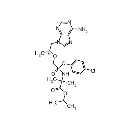 CC(C)OC(=O)C(C)(C)NP(=O)(CO[C@H](C)Cn1cnc2c(N)ncnc21)Oc1ccc(Cl)cc1